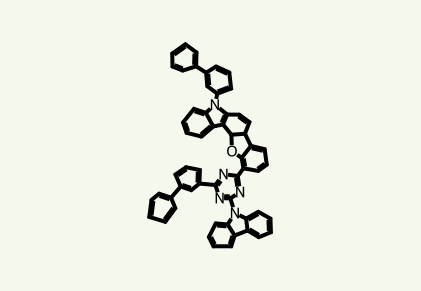 C1=CC2c3cccc(-c4nc(-c5cccc(-c6ccccc6)c5)nc(-n5c6ccccc6c6ccccc65)n4)c3OC2c2c1n(-c1cccc(-c3ccccc3)c1)c1ccccc21